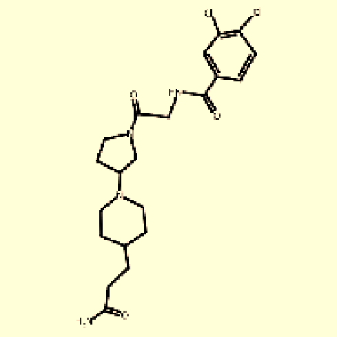 NC(=O)CCC1CCN(C2CCN(C(=O)CNC(=O)c3ccc(Cl)c(Cl)c3)C2)CC1